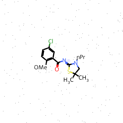 CCCN1CC(C)(C)S/C1=N\C(=O)c1cc(Cl)ccc1OC